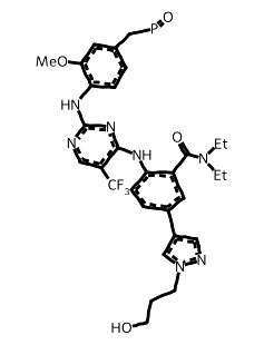 CCN(CC)C(=O)c1cc(-c2cnn(CCCO)c2)ccc1Nc1nc(Nc2ccc(CP=O)cc2OC)ncc1C(F)(F)F